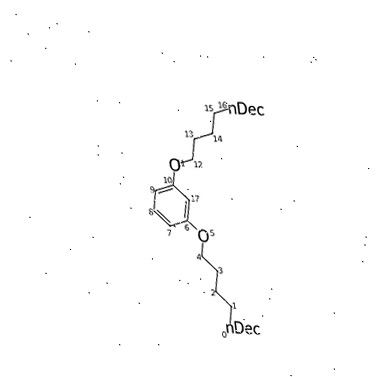 CCCCCCCCCCCCCCOc1[c]ccc(OCCCCCCCCCCCCCC)c1